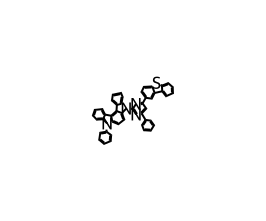 c1ccc(-c2cc(-c3ccc4sc5ccccc5c4c3)nc(-n3c4ccccc4c4c5c6ccccc6n(-c6ccccc6)c5ccc43)n2)cc1